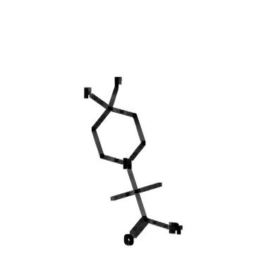 CC(C)C(=O)C(C)(C)N1CCC(F)(F)CC1